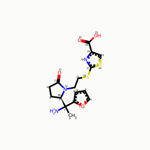 CC(N)(c1ccco1)[C@H]1CCC(=O)N1CCSc1nc(C(=O)O)cs1